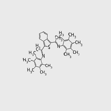 C/C(=N\c1c(C)c(C)c(C)c(C)c1C)c1sc(/C(C)=N/c2c(C)c(C)c(C)c(C)c2C)c2ccccc12